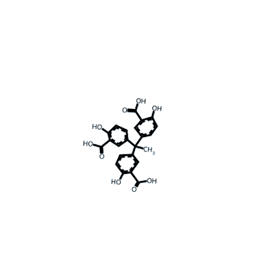 CC(c1ccc(O)c(C(=O)O)c1)(c1ccc(O)c(C(=O)O)c1)c1ccc(O)c(C(=O)O)c1